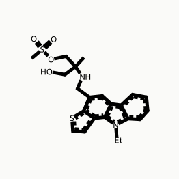 CCn1c2ccccc2c2cc(CNC(C)(CO)COS(C)(=O)=O)c3sccc3c21